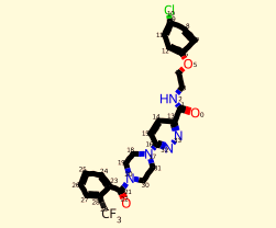 O=C(NCCOc1ccc(Cl)cc1)c1ccc(N2CCN(C(=O)c3ccccc3C(F)(F)F)CC2)nn1